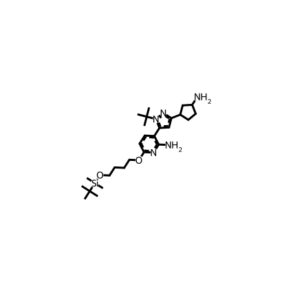 CC(C)(C)n1nc(C2CCC(N)C2)cc1-c1ccc(OCCCCO[Si](C)(C)C(C)(C)C)nc1N